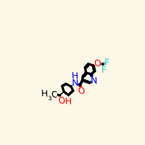 CC(O)[C@H]1CC[C@H](NC(=O)c2cnc3cc(OC(F)F)ccc3c2)CC1